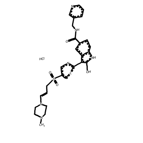 CN1CCN(C=CCS(=O)(=O)c2ccc(-c3c(O)[nH]c4ccc(C(=O)NCc5cccnc5)cc34)nc2)CC1.Cl